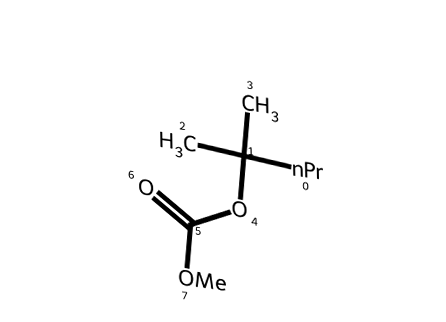 CCCC(C)(C)OC(=O)OC